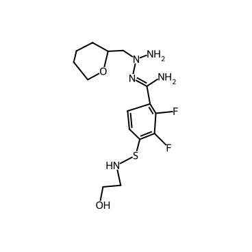 N/C(=N\N(N)CC1CCCCO1)c1ccc(SNCCO)c(F)c1F